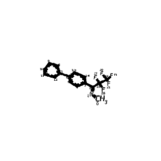 C/N=C(/c1ccc(-c2ccccc2)cc1)C(F)(F)C(F)(F)F